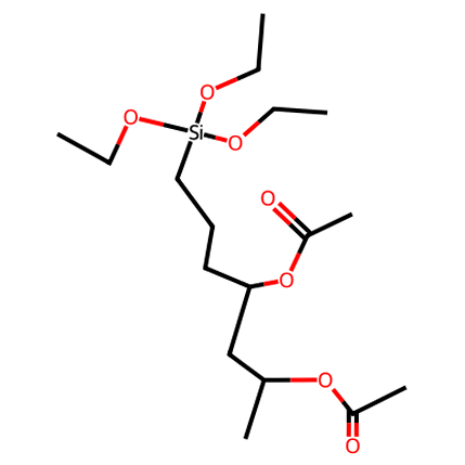 CCO[Si](CCCC(CC(C)OC(C)=O)OC(C)=O)(OCC)OCC